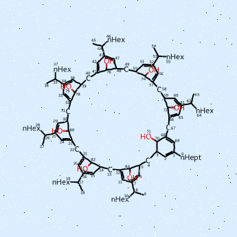 CCCCCCCC1=CC2CC3C=C(C(C)CCCCCC)C=C(CC4C=C(C(C)CCCCCC)C=C(CC5=CC(C(C)CCCCCC)=CC(CC6=CC(C(C)CCCCCC)=CC(CC7=CC(C(C)CCCCCC)=CC(CC8C=C(C(C)CCCCCC)C=C(CC9C=C(C(C)CCCCCC)C=C(CC(=C1)C2O)C9O)C8O)C7O)C6O)C5O)C4O)C3O